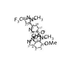 COc1ccc2cnn(C)c2c1N(C)S(=O)(=O)c1ccc(-c2cc(C(F)(F)F)nn2C)nc1